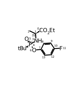 CCOC(=O)[C@H](C)N[P@@](=O)(Oc1ccc(F)cc1)C(C)(C)C